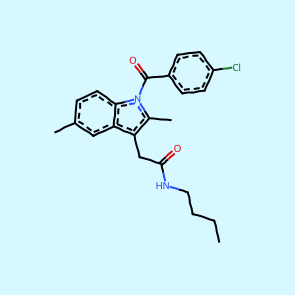 CCCCNC(=O)Cc1c(C)n(C(=O)c2ccc(Cl)cc2)c2ccc(C)cc12